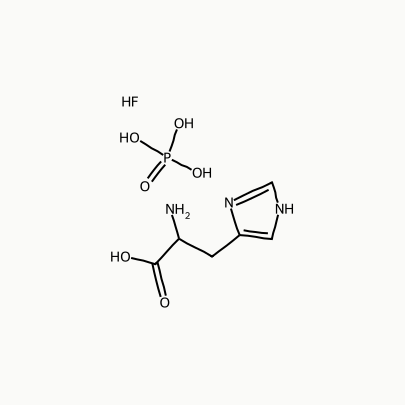 F.NC(Cc1c[nH]cn1)C(=O)O.O=P(O)(O)O